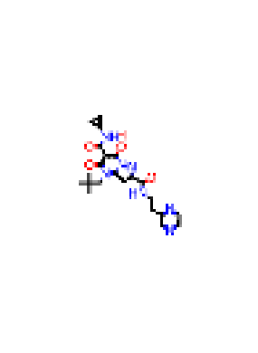 CC(C)(C)Cn1c(=O)c(C(=O)NC2CC2)c(O)n2nc(C(=O)NCCc3cnccn3)cc12